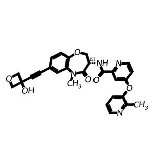 Cc1ncccc1Oc1ccnc(C(=O)N[C@H]2COc3ccc(C#CC4(O)COC4)cc3N(C)C2=O)c1